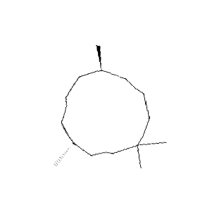 C[C@@H]1CCC[C@@H](C)CCC(C)(C)CCC1